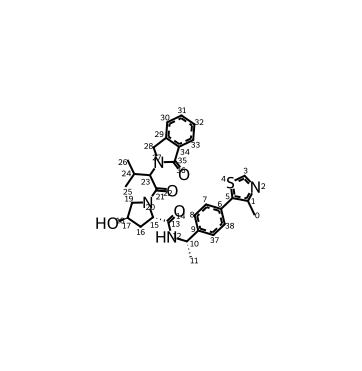 Cc1ncsc1-c1ccc([C@H](C)NC(=O)[C@@H]2C[C@@H](O)CN2C(=O)C(C(C)C)N2Cc3ccccc3C2=O)cc1